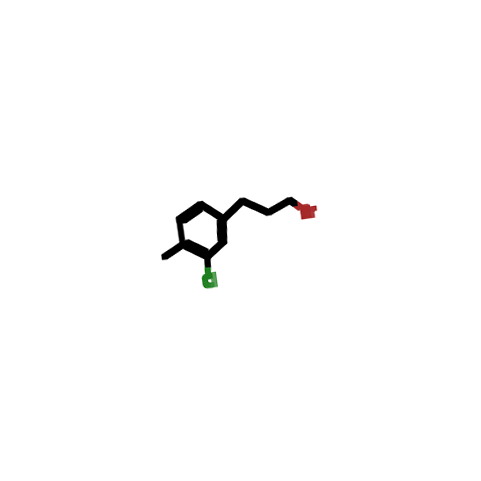 Cc1ccc(CCCBr)cc1Cl